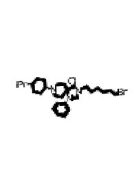 CC(C)[C@H]1CC[C@@H](N2CCC3(CC2)C(=O)N(CCCCCCBr)CN3c2ccccc2)CC1